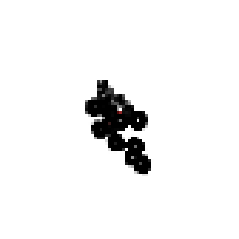 CC1(C)c2ccccc2-c2c(-c3ccccc3N(c3cccc(-c4cccc5c4ccc4ccccc45)c3)c3ccc4oc5ccccc5c4c3)cccc21